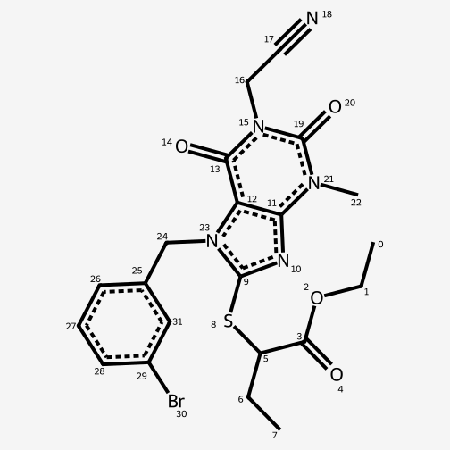 CCOC(=O)C(CC)Sc1nc2c(c(=O)n(CC#N)c(=O)n2C)n1Cc1cccc(Br)c1